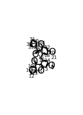 COc1cc(O)c(C(=O)c2ccccc2)c(Cc2cc(OC)cc(O)c2C(=O)c2ccccc2)c1